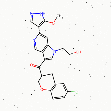 COc1[nH]ncc1-c1cc2c(cn1)c(C(=O)C1COc3ccc(Cl)cc3C1)cn2CCO